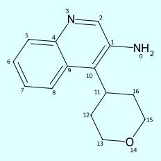 Nc1cnc2ccccc2c1C1CCOCC1